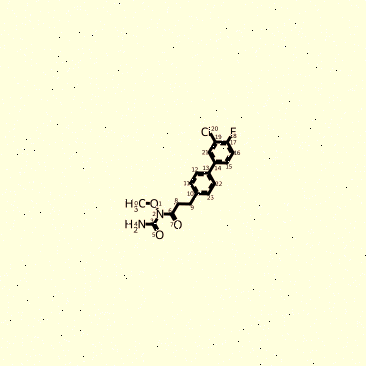 CON(C(N)=O)C(=O)[CH]Cc1ccc(-c2ccc(F)c(Cl)c2)cc1